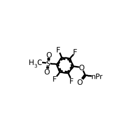 CCCC(=O)Oc1c(F)c(F)c(S(C)(=O)=O)c(F)c1F